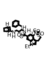 CCn1cc2c3c(cc(C(=O)N[C@@H](Cc4ccccc4)[C@H](O)CNC4C[C@@H]5CC[C@H]4C5)cc31)N(C)S(=O)(=O)CC2